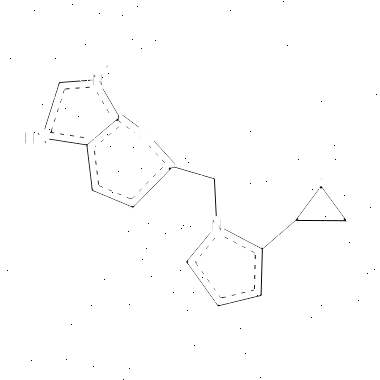 c1cc(C2CC2)n(Cc2ccc3[nH]cnc3c2)c1